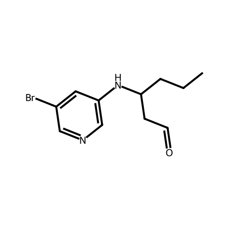 CCCC(CC=O)Nc1cncc(Br)c1